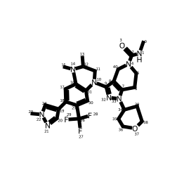 CNC(=O)N1CCc2c(c(N3CC(C)N(C)c4cc(-c5cnn(C)c5)c(C(F)(F)F)cc43)nn2C2CCOCC2)C1